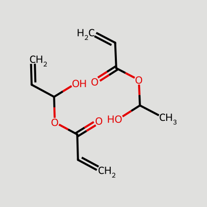 C=CC(=O)OC(C)O.C=CC(=O)OC(O)C=C